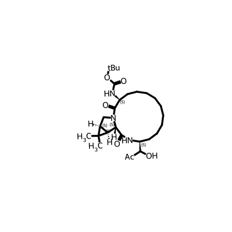 CC(=O)C(O)[C@@H]1CCCCCCCCC[C@H](NC(=O)OC(C)(C)C)C(=O)N2C[C@H]3[C@@H]([C@H]2C(=O)N1)C3(C)C